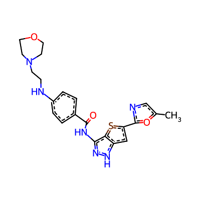 Cc1cnc(-c2cc3[nH]nc(NC(=O)c4ccc(NCCN5CCOCC5)cc4)c3s2)o1